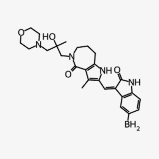 Bc1ccc2c(c1)/C(=C/c1[nH]c3c(c1C)C(=O)N(CC(C)(O)CN1CCOCC1)CCC3)C(=O)N2